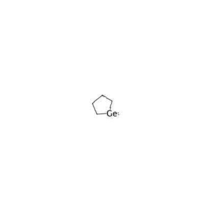 C1C[CH2][Ge][CH2]1